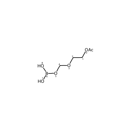 CC(=O)OCCOCOB(O)O